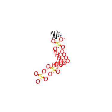 O.O.O.O.O.O.O=S(=O)([O-])[O-].O=S(=O)([O-])[O-].O=S(=O)([O-])[O-].[Al+3].[Al+3]